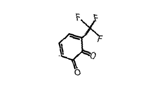 O=C1[C]=CC=C(C(F)(F)F)C1=O